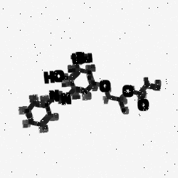 C=CC(=O)OC(C)COc1cc(N=Nc2ccccc2)c(O)c(C(C)(C)C)c1